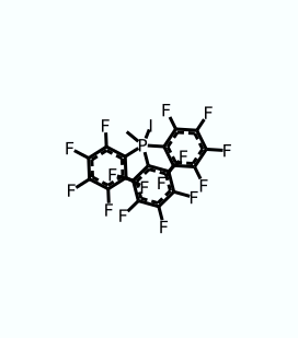 CP(I)(c1c(F)c(F)c(F)c(F)c1F)(c1c(F)c(F)c(F)c(F)c1F)c1c(F)c(F)c(F)c(F)c1F